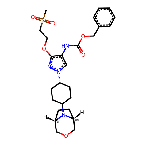 CS(=O)(=O)CCOc1nn([C@H]2CC[C@H](N3[C@@H]4CC[C@H]3COC4)CC2)cc1NC(=O)OCc1ccccc1